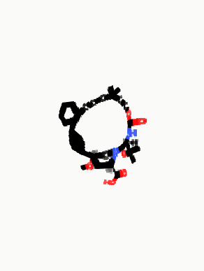 CO[C@@]12C[C@@H](C(=O)O)N(C1)C(=O)[C@H](C(C)(C)C)NC(=O)OCCC(C)(C)CCCc1ccccc1-c1ccc2cc1